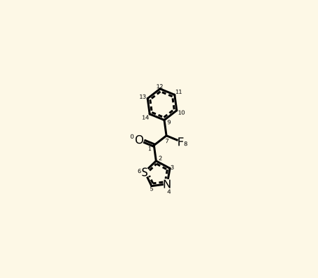 O=C(c1cncs1)C(F)c1ccccc1